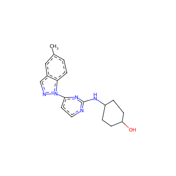 Cc1ccc2c(cnn2-c2ccnc(NC3CCC(O)CC3)n2)c1